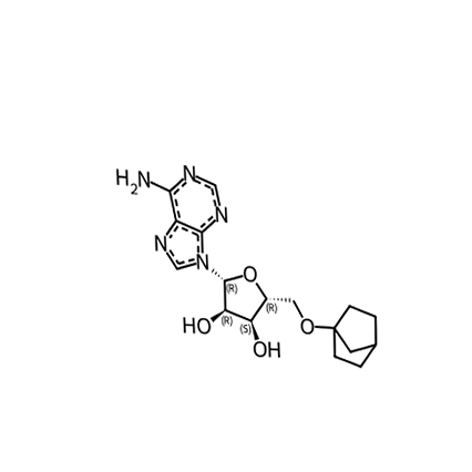 Nc1ncnc2c1ncn2[C@@H]1O[C@H](COC23CCC(CC2)C3)[C@@H](O)[C@H]1O